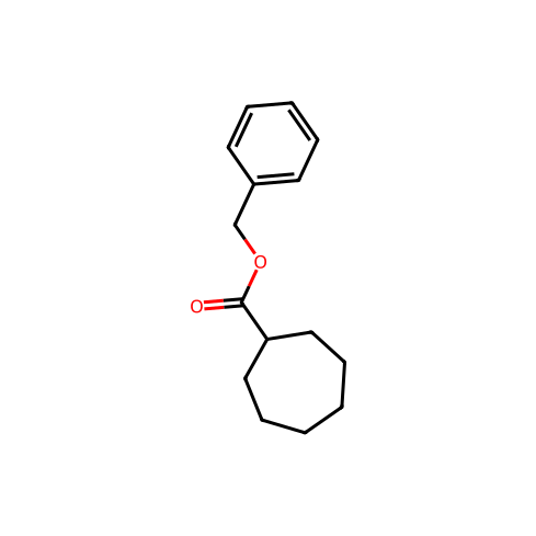 O=C(OCc1ccccc1)C1CCCCCC1